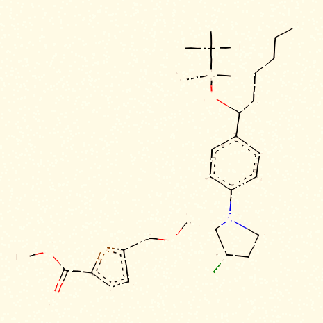 CCCCCC(O[Si](C)(C)C(C)(C)C)c1ccc(N2CC[C@@H](Cl)[C@@H]2COCc2ccc(C(=O)OC)s2)cc1